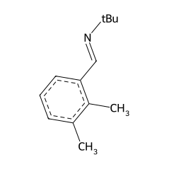 Cc1cccc(/C=N/C(C)(C)C)c1C